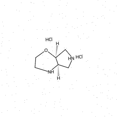 C1CO[C@H]2CNC[C@H]2N1.Cl.Cl